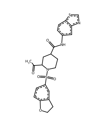 CC(=O)C1CC(C(=O)Nc2ccc3scnc3c2)CCN1S(=O)(=O)c1ccc2c(c1)CCO2